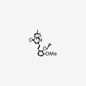 COc1cccc(C=Cc2cc(=O)n3cc(C)sc3n2)c1OCC1CC1